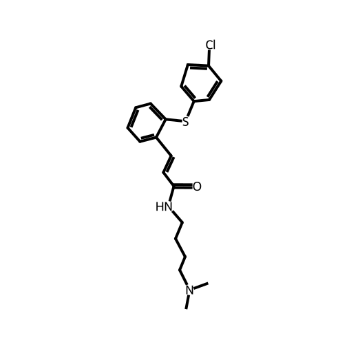 CN(C)CCCCNC(=O)/C=C/c1ccccc1Sc1ccc(Cl)cc1